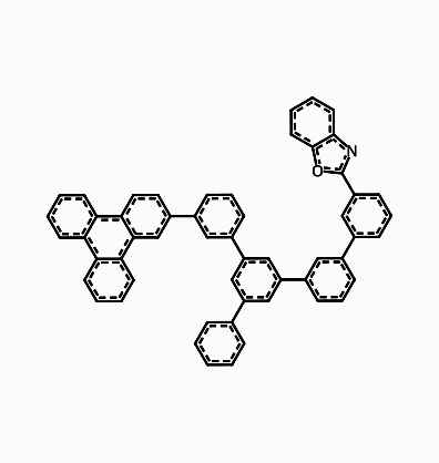 c1ccc(-c2cc(-c3cccc(-c4cccc(-c5nc6ccccc6o5)c4)c3)cc(-c3cccc(-c4ccc5c6ccccc6c6ccccc6c5c4)c3)c2)cc1